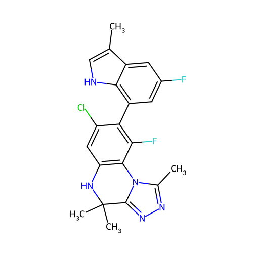 Cc1c[nH]c2c(-c3c(Cl)cc4c(c3F)-n3c(C)nnc3C(C)(C)N4)cc(F)cc12